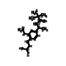 CC(N[S@+]([O-])C(C)(C)C)c1ccc(OCC(F)F)c(CN)c1